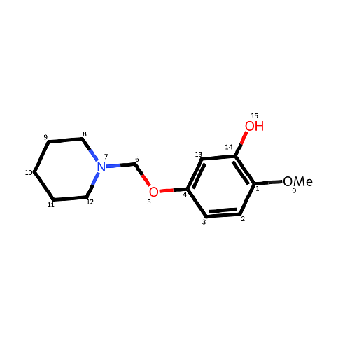 COc1ccc(OCN2CCCCC2)cc1O